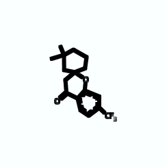 CC1(C)CCCC2(CC(=O)c3ccc(C(F)(F)F)cc3O2)C1